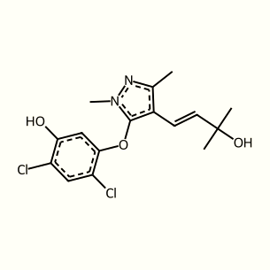 Cc1nn(C)c(Oc2cc(O)c(Cl)cc2Cl)c1C=CC(C)(C)O